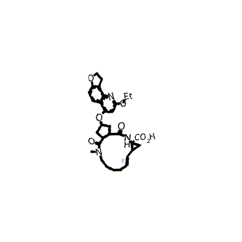 CCOc1cc(OC2CC3C(=O)NC4(C(=O)O)CC4/C=C/CCCCN(C)C(=O)C3C2)c2ccc3c(c2n1)CCO3